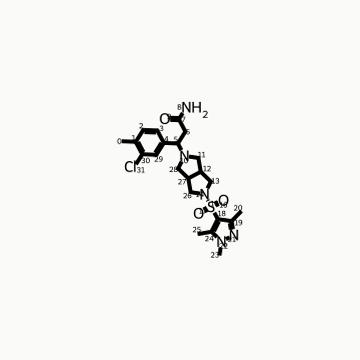 Cc1ccc(C(CC(N)=O)N2CC3CN(S(=O)(=O)c4c(C)nn(C)c4C)CC3C2)cc1Cl